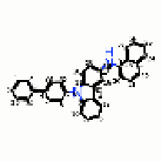 c1ccc(-c2ccc(-n3c4ccccc4c4cc(Nc5cccc6ccccc56)ccc43)cc2)cc1